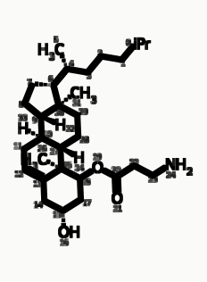 CC(C)CCC[C@@H](C)[C@H]1CC[C@H]2[C@@H]3CC=C4C[C@@H](O)CC(OC(=O)CCN)[C@]4(C)[C@H]3CC[C@]12C